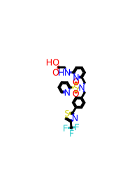 O=C(O)CNc1cccc(CN(Cc2ccc(-c3nc(C(F)(F)F)cs3)cc2)S(=O)(=O)c2ccccn2)n1